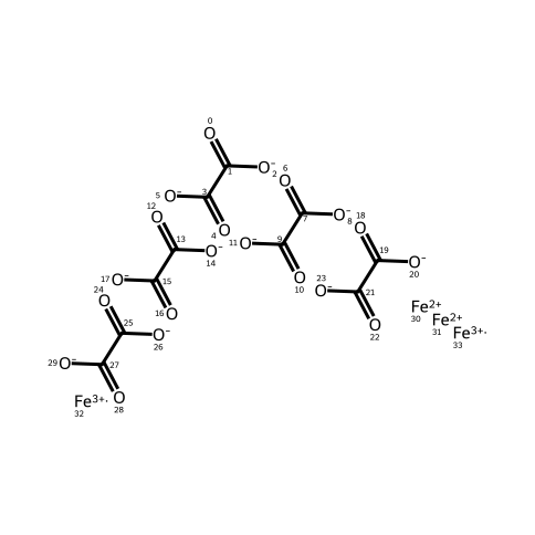 O=C([O-])C(=O)[O-].O=C([O-])C(=O)[O-].O=C([O-])C(=O)[O-].O=C([O-])C(=O)[O-].O=C([O-])C(=O)[O-].[Fe+2].[Fe+2].[Fe+3].[Fe+3]